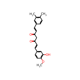 COc1ccc(/C=C/C(=O)CC(=O)/C=C/c2ccc(C)c(C)c2)cc1O